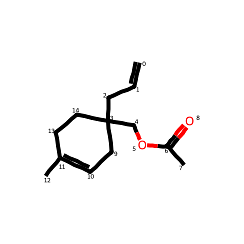 C=CCC1(COC(C)=O)CC=C(C)CC1